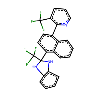 FC(F)(F)c1cccnc1-c1ccc(C2(C(F)(F)F)Nc3ccccc3N2)c2ccccc12